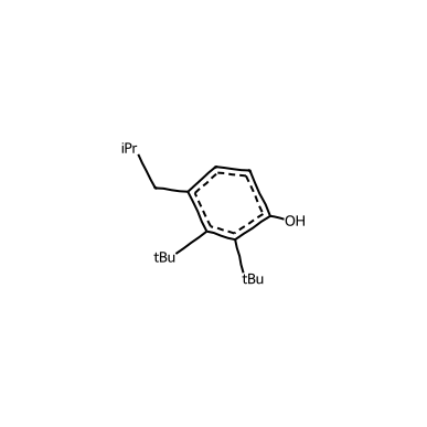 CC(C)Cc1ccc(O)c(C(C)(C)C)c1C(C)(C)C